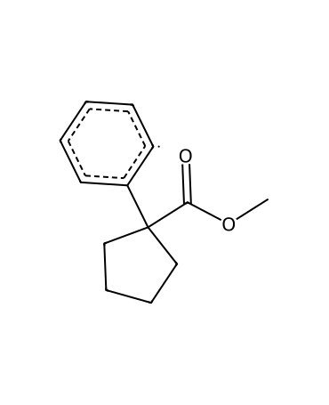 COC(=O)C1(c2[c]cccc2)CCCC1